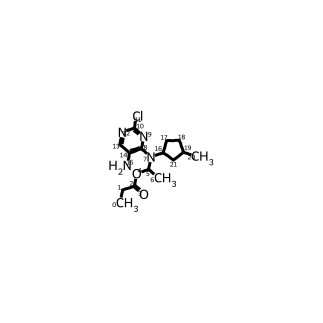 CCC(=O)OC(C)N(c1nc(Cl)ncc1N)C1CCC(C)C1